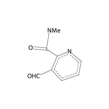 CNC(=O)c1ncccc1C=O